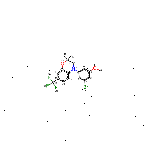 COc1cc(Br)cc(N2CC(C)(C)Oc3cc(C(F)(F)F)ccc32)c1